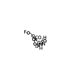 O=C(O)c1nc(-c2ccc3c(c2)N(C(=O)Nc2nc4ccccc4s2)CCC3)ccc1OCCc1ccc(F)cc1